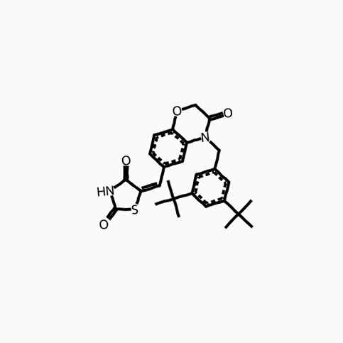 CC(C)(C)c1cc(CN2C(=O)COc3ccc(C=C4SC(=O)NC4=O)cc32)cc(C(C)(C)C)c1